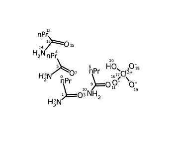 CCCC(N)=O.CCCC(N)=O.CCCC(N)=O.CCCC(N)=O.[O-][Cl+3]([O-])([O-])O